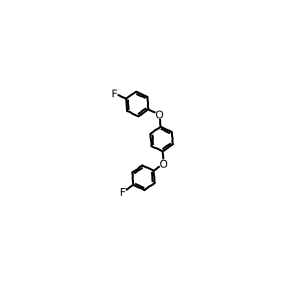 Fc1ccc(Oc2ccc(Oc3ccc(F)cc3)cc2)cc1